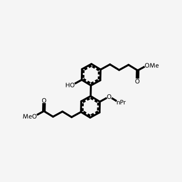 CCCOc1ccc(CCCC(=O)OC)cc1-c1cc(CCCC(=O)OC)ccc1O